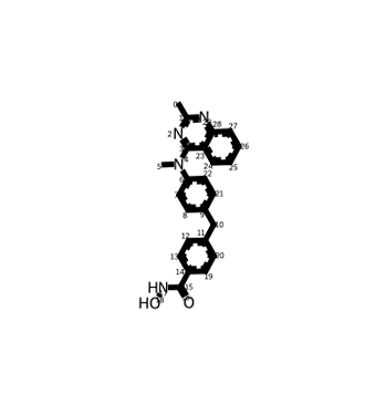 Cc1nc(N(C)c2ccc(Cc3ccc(C(=O)NO)cc3)cc2)c2ccccc2n1